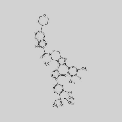 CCP(=O)(CC)c1ccc(-n2ccn(-c3c4c(nn3-c3cc(C)c(F)c(C)c3)CCN(C(=O)c3cc5cc(C6CCOCC6)ccc5[nH]3)[C@H]4C)c2=O)cc1NC